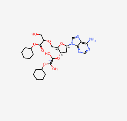 Nc1ncnc2c1ncn2[C@H]1C[C@H](O/C(O)=C(\O)OC2CCCCC2)[C@@H](COC(CO)C(=O)OC2CCCCC2)O1